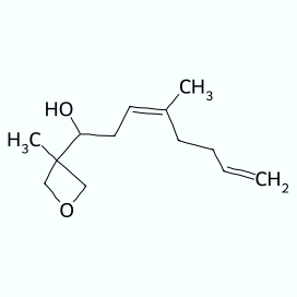 C=CCCC(C)=CCC(O)C1(C)COC1